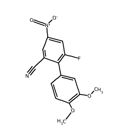 COc1ccc(-c2c(F)cc([N+](=O)[O-])cc2C#N)cc1OC